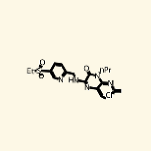 C=C(Cl)/N=C1\C(=C/C)N=C(NCc2ccc(S(=O)(=O)CC)cn2)C(=O)N1CCC